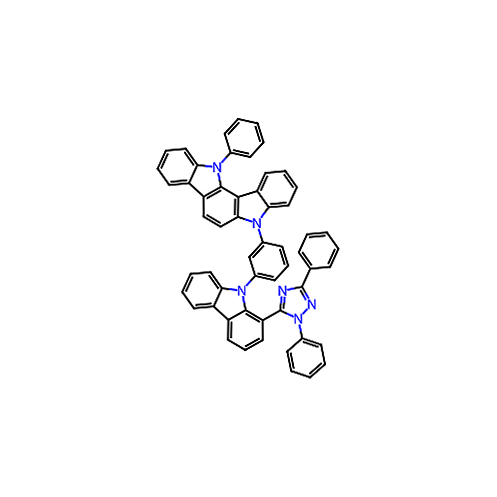 c1ccc(-c2nc(-c3cccc4c5ccccc5n(-c5cccc(-n6c7ccccc7c7c6ccc6c8ccccc8n(-c8ccccc8)c67)c5)c34)n(-c3ccccc3)n2)cc1